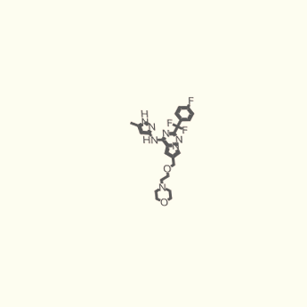 Cc1cc(Nc2nc(C(F)(F)c3ccc(F)cc3)nn3cc(COCCN4CCOCC4)cc23)n[nH]1